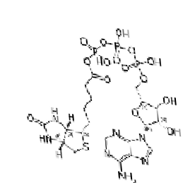 Nc1ncnc2c1ncn2[C@@H]1O[C@H](COP(=O)(O)OP(=O)(O)OP(=O)(O)OC(=O)CCCC[C@@H]2SC[C@@H]3NC(=O)N[C@@H]32)C(O)[C@@H]1O